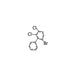 Clc1c[c]c(Br)c(-c2ccccc2)c1Cl